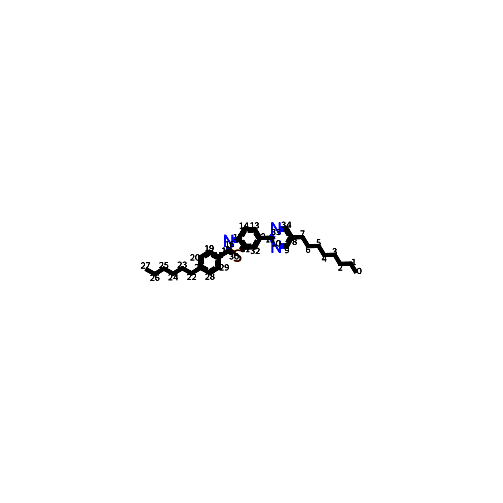 CCCCCCCCc1cnc(-c2ccc3nc(-c4ccc(CCCCCC)cc4)sc3c2)nc1